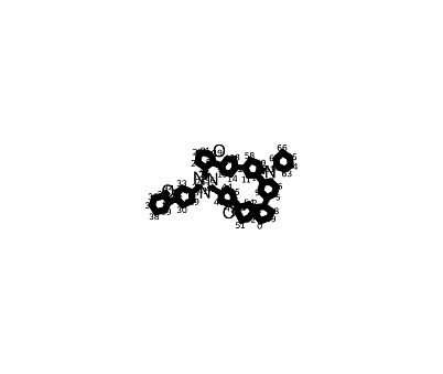 c1ccc(-c2ccc3c(c2)c2cc(-c4ccc5c(c4)oc4cccc(-c6nc(-c7ccc8c(c7)oc7ccccc78)nc(-c7ccc8c(c7)oc7ccccc78)n6)c45)ccc2n3-c2ccccc2)cc1